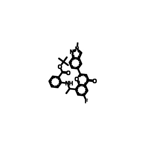 CC(Nc1ccccc1C(=O)OC(C)(C)C)c1cc(F)cc2c(=O)cc(-c3ccc4nn(C)cc4c3)oc12